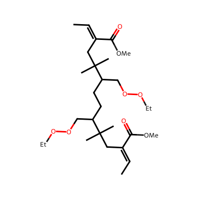 C/C=C(\CC(C)(C)C(CCC(COOCC)C(C)(C)C/C(=C\C)C(=O)OC)COOCC)C(=O)OC